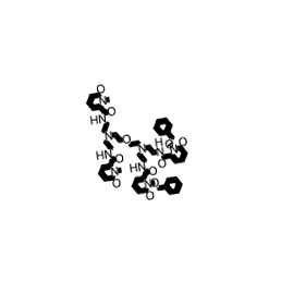 Cn1c(C(=O)NCCN(CCNC(=O)c2cccc(=O)n2C)CCOCCN(CCNC(=O)c2cccc(=O)n2OCc2ccccc2)CCNC(=O)c2cccc(=O)n2OCc2ccccc2)cccc1=O